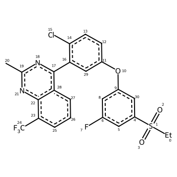 CCS(=O)(=O)c1cc(F)cc(Oc2ccc(Cl)c(-c3nc(C)nc4c(C(F)(F)F)cccc34)c2)c1